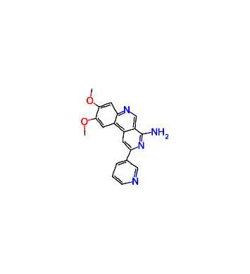 COc1cc2ncc3c(N)nc(-c4cccnc4)cc3c2cc1OC